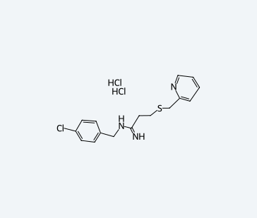 Cl.Cl.N=C(CCSCc1ccccn1)NCc1ccc(Cl)cc1